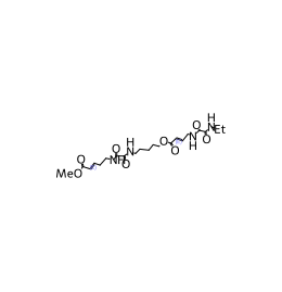 CCNC(=O)C(=O)NC/C=C/C(=O)OCCCCCNC(=O)C(=O)NCC/C=C/C(=O)OC